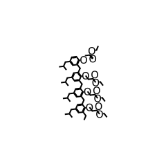 CCOC(=O)COc1ccc(CC(C)C)cc1Cc1cc(CC(C)C)cc(Cc2cc(CC(C)C)cc(Cc3cc(CC(C)C)cc(CC)c3OCC(=O)OCC)c2OCC(=O)OCC)c1OCC(=O)OCC